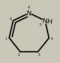 C1=CCCCNN=1